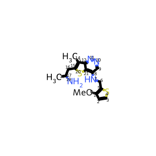 COc1ccsc1CNc1cnnc2c(C)c(CC(C)N)sc12